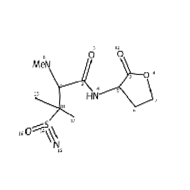 CNC(C(=O)NC1CCOC1=O)C(C)(C)S(#N)=O